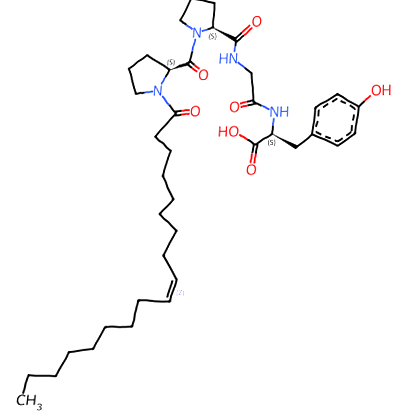 CCCCCCCC/C=C\CCCCCCCC(=O)N1CCC[C@H]1C(=O)N1CCC[C@H]1C(=O)NCC(=O)N[C@@H](Cc1ccc(O)cc1)C(=O)O